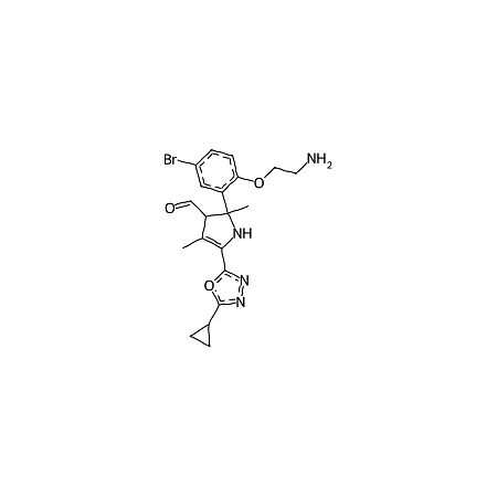 CC1=C(c2nnc(C3CC3)o2)NC(C)(c2cc(Br)ccc2OCCN)C1C=O